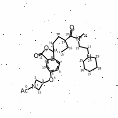 CC(=O)N1CC(Oc2ccc3c(c2)C(=O)O[C@]32CC[C@H](C(=O)N(C)CCN3CCCCC3)CC2)C1